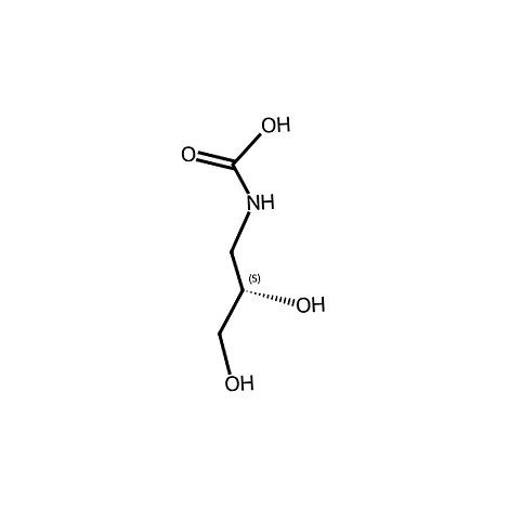 O=C(O)NC[C@H](O)CO